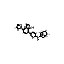 CN(c1ccc(-c2ccc(-n3cccn3)c3cc[nH]c23)nn1)C1CC2CCC(C1)N2